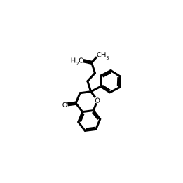 C=C(C)CCC1(c2ccccc2)CC(=O)c2ccccc2O1